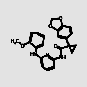 COc1ccccc1Nc1cccc(NC(=O)C2(c3ccc4c(c3)OCO4)CC2)n1